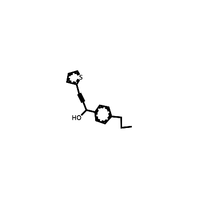 CCCc1ccc(C(O)C#Cc2cccs2)cc1